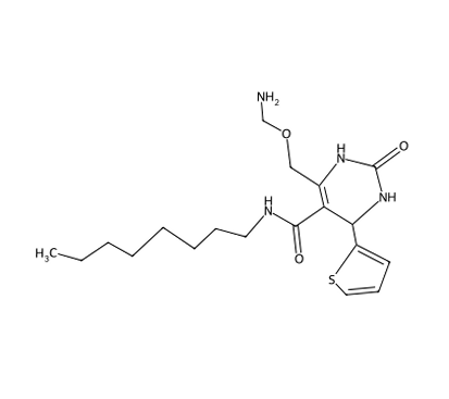 CCCCCCCCNC(=O)C1=C(COCN)NC(=O)NC1c1cccs1